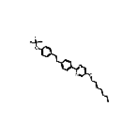 CCCCCCCOc1cnc(-c2ccc(CCc3ccc(OC(F)(F)F)cc3)cc2)nc1